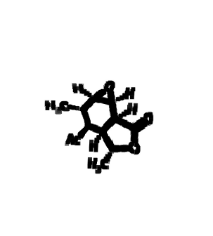 CC(=O)[C@H]1[C@H](C)[C@H]2O[C@H]2[C@H]2C(=O)O[C@H](C)[C@H]21